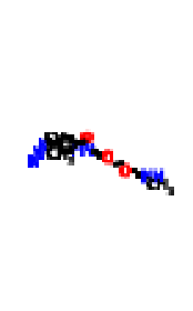 CNCCOCCOCCNC(=O)c1ccc(C(C)(C)N=[N+]=[N-])cc1